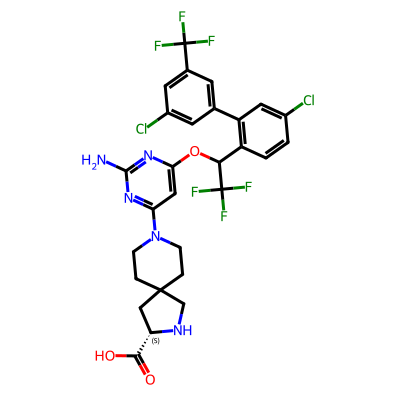 Nc1nc(OC(c2ccc(Cl)cc2-c2cc(Cl)cc(C(F)(F)F)c2)C(F)(F)F)cc(N2CCC3(CC2)CN[C@H](C(=O)O)C3)n1